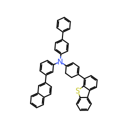 C1=C(c2cccc3c2sc2ccccc23)CCC(N(c2ccc(-c3ccccc3)cc2)c2cccc(-c3ccc4ccccc4c3)c2)=C1